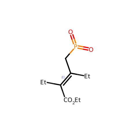 CCOC(=O)/C(CC)=C(\CC)CP(=O)=O